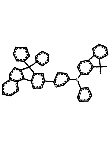 CC1(C)c2ccccc2-c2ccc(N(c3ccccc3)c3ccc(-c4ccc5c(c4)C(c4ccccc4)(c4ccccc4)c4ccc6ccccc6c4-5)nc3)cc21